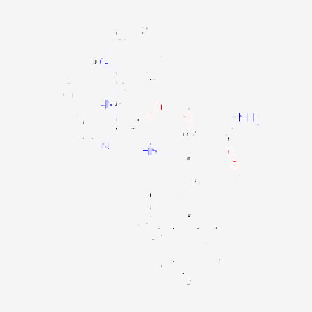 Cc1cnc(C(=O)NC(Cc2csc3ccccc23)C(=O)C(N)=O)n1-c1ccccn1